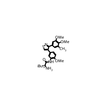 CCC(C)[C@H](N)C(=O)Nc1cc(-c2csnc2-c2cc(C)c(OC)c(OC)c2)ccc1OC